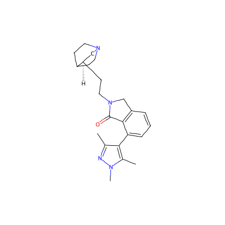 Cc1nn(C)c(C)c1-c1cccc2c1C(=O)N(CC[C@@H]1CN3CCC1CC3)C2